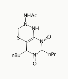 CCCCC1C2=C(NN(NC(C)=O)CS2)[N+](=O)C(CCC)[N+]1=O